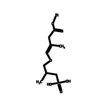 CCOC(=S)C/C(C)=C/OCC(C)CP(=O)(O)O